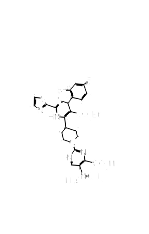 CCOC(=O)C1=C(C2CCN(c3ncc(N(C)C)c(C(=O)O)n3)CC2)NC(c2nccs2)=NC1c1ccc(F)cc1Br